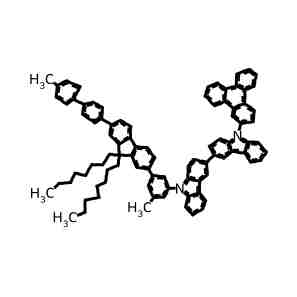 CCCCCCCCC1(CCCCCCCC)c2cc(-c3ccc(-c4ccc(C)cc4)cc3)ccc2-c2ccc(-c3cc(C)cc(-n4c5ccccc5c5cc(-c6ccc7c(c6)c6ccccc6n7-c6ccc7c8ccccc8c8ccccc8c7c6)ccc54)c3)cc21